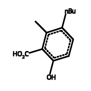 CCCCc1ccc(O)c(C(=O)O)c1C